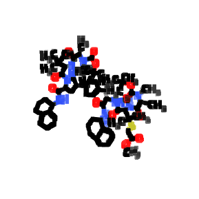 COC(=O)CSC(C)(C)[C@H](NC(=O)[C@H](C)N(C)C(=O)OC(C)(C)C)C(=O)N[C@@H](Cc1ccc([C@H]2C[C@@H](C(=O)N[C@@H]3CCCc4ccccc43)N(C(=O)[C@@H](NC(=O)[C@H](C)N(C)C(=O)OC(C)(C)C)C(C)(C)C)C2)cc1)C(=O)N[C@@H]1CCCc2ccccc21